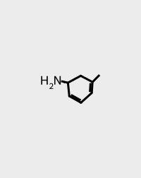 CC1=CC=C[C](N)C1